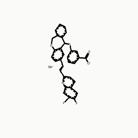 O=C([O-])c1cccc(SC2c3ccccc3COc3ccc(C=Cc4ccc5cc(F)c(F)cc5n4)cc32)c1.[Na+]